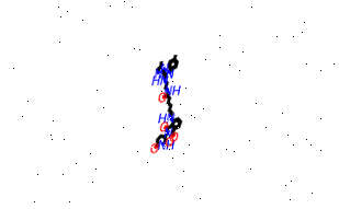 Cc1ccc2nc(NCCNC(=O)CCCCCNc3cccc4c3C(=O)N(C3CCC(=O)NC3=O)C4=O)c3ncc(C)n3c2c1